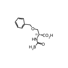 BC(=O)N[C@@H](COCc1ccccc1)C(=O)O